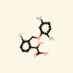 Cc1ccc(C)c(OCc2c(Cl)cccc2C(O)C(=O)O)c1